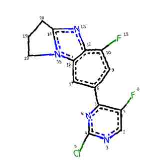 Fc1cnc(Cl)nc1-c1cc(F)c2nc3n(c2c1)CCC3